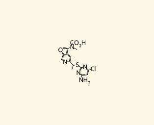 CC(Sc1nc(N)cc(Cl)n1)c1cc2c(N(C)C(=O)O)coc2cn1